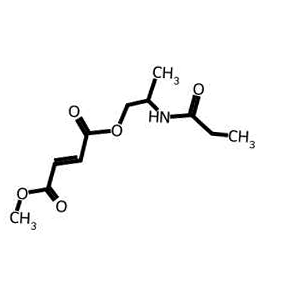 CCC(=O)NC(C)COC(=O)/C=C/C(=O)OC